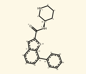 O=C(N[C@@H]1CCCNC1)c1cc2cccc(-c3ccccc3)c2s1